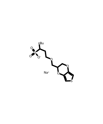 CCCCC(CCOCC1COc2cscc2O1)S(=O)(=O)[O-].[Na+]